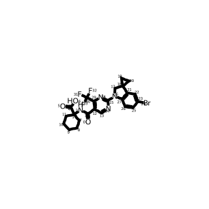 O=C(NC1(C(=O)O)CCCCC1)c1cnc(N2CC3(CC3)c3cc(Br)ccc32)nc1C(F)(F)F